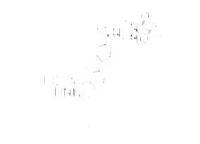 CC1NN(C2CCCCCCCCC2)C(c2cccc(-c3ccc(C(=O)N4CCN(C(=O)C5(O)CC5)CC4)cc3)c2)S1